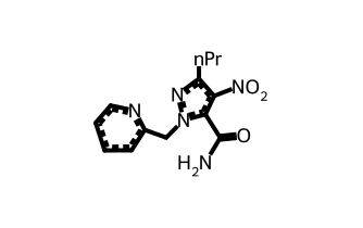 CCCc1nn(Cc2ccccn2)c(C(N)=O)c1[N+](=O)[O-]